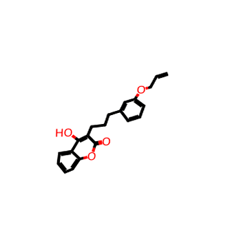 C=CCOc1cccc(CCCc2c(O)c3ccccc3oc2=O)c1